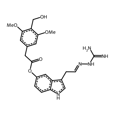 COc1cc(CC(=O)Oc2ccc3[nH]cc(CC=NNC(=N)N)c3c2)cc(OC)c1CO